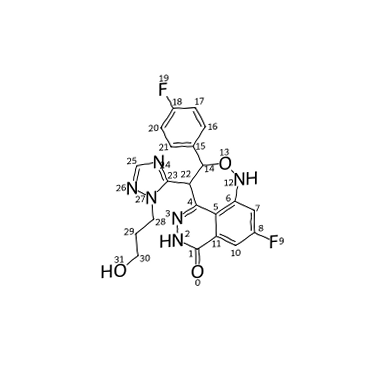 O=c1[nH]nc2c3c(cc(F)cc13)NOC(c1ccc(F)cc1)C2c1ncnn1CCCO